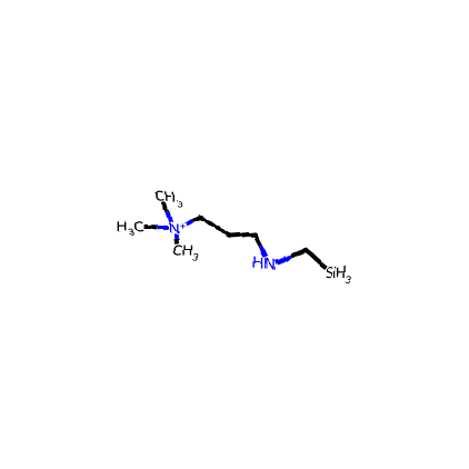 C[N+](C)(C)CCCNC[SiH3]